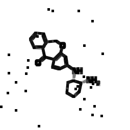 N[C@@H]1CCCC[C@@H]1Nc1ccc2c(c1)OCc1ccccc1C2=O